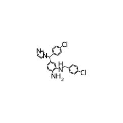 Nc1ccc(C(c2ccc(Cl)cc2)n2ccnc2)cc1NCc1ccc(Cl)cc1